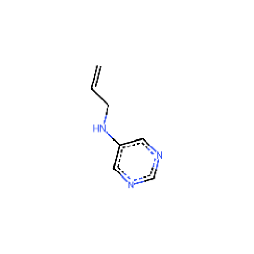 C=CCNc1cncnc1